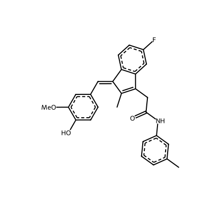 COc1cc(C=C2C(C)=C(CC(=O)Nc3cccc(C)c3)c3cc(F)ccc32)ccc1O